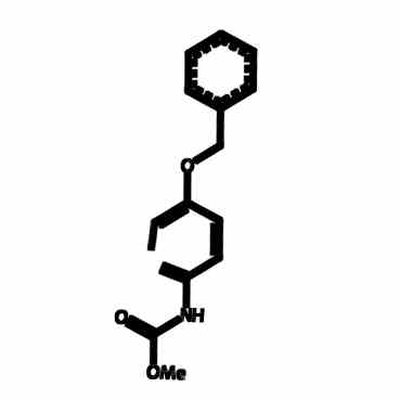 C=C(/C=C\C(=C/C)OCc1ccccc1)NC(=O)OC